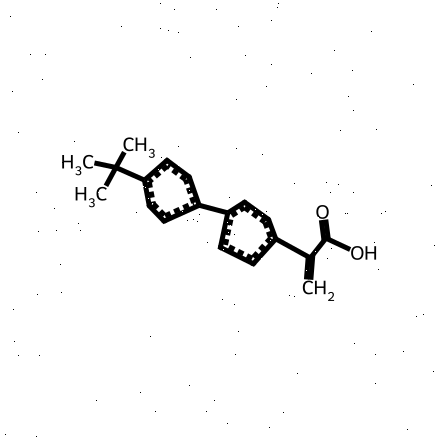 C=C(C(=O)O)c1ccc(-c2ccc(C(C)(C)C)cc2)cc1